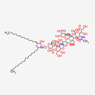 CCCCCCCCCCCCC/C=C/[C@@H](O)[C@H](CO[C@@H]1OC(CO)[C@@H](O[C@@H]2OC(CO)[C@H](O)[C@H](O[C@@H]3OC(CO)[C@@H](O[C@@H]4OC(CO)[C@H](O)[C@H](O[C@]5(C(=O)O)CC(O)[C@@H](NC(C)=O)C([C@H](O)[C@H](O)CO)O5)C4O)[C@H](O[C@H]4OC(C)[C@@H](O)C(O)[C@@H]4O)C3NC(C)=O)C2O)[C@H](O)C1O)NC(=O)CCCCCCCCCCCCCCCCC